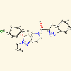 CCN1N=C2CCN(C(=O)[C@H](N)Cc3ccc(Cl)cc3)C[C@]2(Cc2ccc(Cl)cc2)C1=O